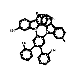 CC(C)(C)c1ccc2c3ccc(C(C)(C)C)cc3n(-c3cc(-c4ccccc4C#N)c(-c4ccccc4C#N)cc3-n3c4cc(F)ccc4c4ccc(F)cc43)c2c1